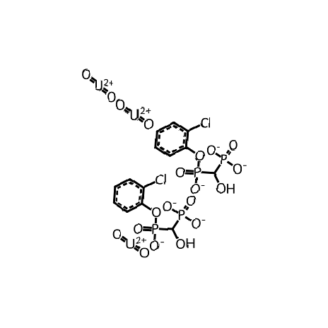 O=P([O-])([O-])C(O)P(=O)([O-])Oc1ccccc1Cl.O=P([O-])([O-])C(O)P(=O)([O-])Oc1ccccc1Cl.[O]=[U+2]=[O].[O]=[U+2]=[O].[O]=[U+2]=[O]